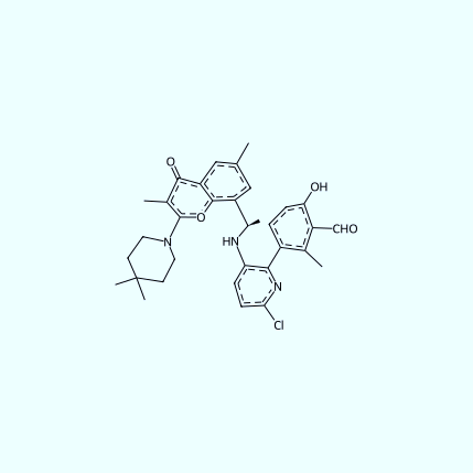 Cc1cc([C@@H](C)Nc2ccc(Cl)nc2-c2ccc(O)c(C=O)c2C)c2oc(N3CCC(C)(C)CC3)c(C)c(=O)c2c1